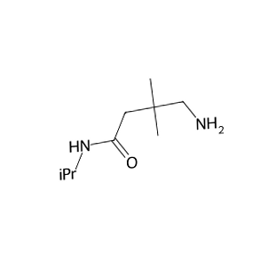 CC(C)NC(=O)CC(C)(C)CN